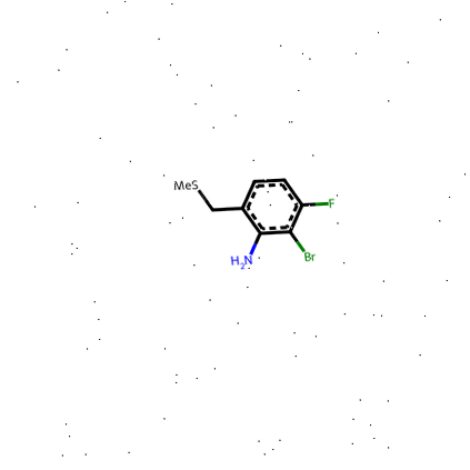 CSCc1ccc(F)c(Br)c1N